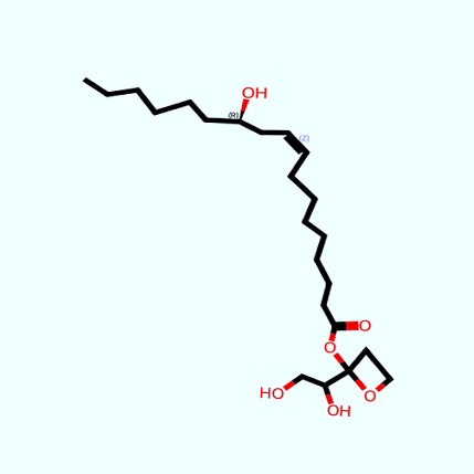 CCCCCC[C@@H](O)C/C=C\CCCCCCCC(=O)OC1(C(O)CO)CCO1